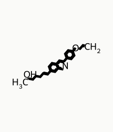 C=CCOc1ccc(-c2cc3ccc(C=CCCCC(C)O)cc3cn2)cc1